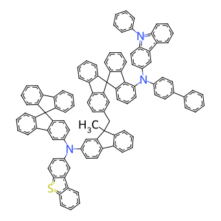 CC1(Cc2ccc3c(c2)C2(c4ccccc4-3)c3ccccc3-c3c(N(c4ccc(-c5ccccc5)cc4)c4ccc5c(c4)c4ccccc4n5-c4ccccc4)cccc32)c2ccccc2-c2ccc(N(c3ccc4c(c3)-c3ccccc3C43c4ccccc4-c4ccccc43)c3ccc4sc5ccccc5c4c3)cc21